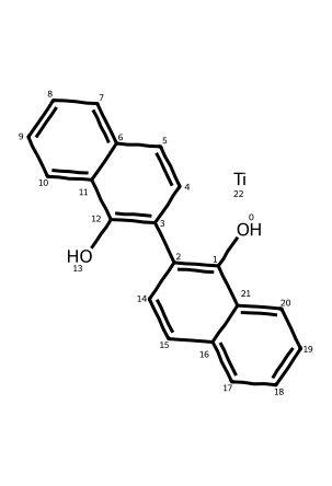 Oc1c(-c2ccc3ccccc3c2O)ccc2ccccc12.[Ti]